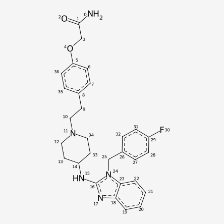 NC(=O)COc1ccc(CCN2CCC(Nc3nc4ccccc4n3Cc3ccc(F)cc3)CC2)cc1